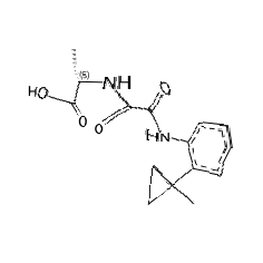 C[C@H](NC(=O)C(=O)Nc1ccccc1C1(C)CC1)C(=O)O